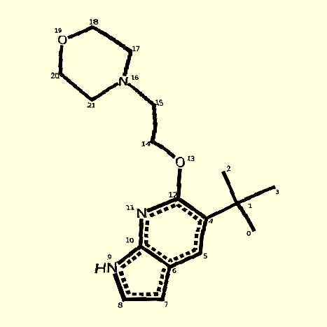 CC(C)(C)c1cc2cc[nH]c2nc1OCCN1CCOCC1